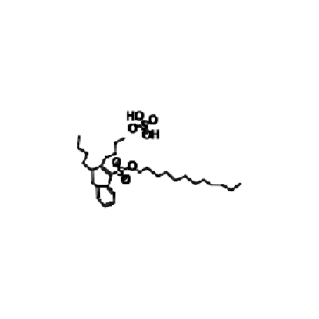 CCCCCCCCCCCCOS(=O)(=O)c1c(CCCC)c(CCCC)cc2ccccc12.O=S(=O)(O)O